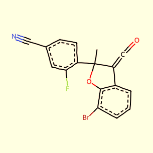 CC1(c2ccc(C#N)cc2F)Oc2c(Br)cccc2C1=C=O